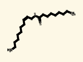 CCCCCCCC/C=C\CSC(=O)CCCCCCCC